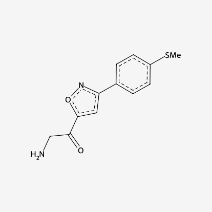 CSc1ccc(-c2cc(C(=O)CN)on2)cc1